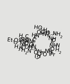 CCc1ccc(C(=O)N[C@@]2([C@@H](C)O)ON([C@H](C)CN[C@H]3CCNC(=O)[C@@](O)(CCO)NC(=O)[C@H](CCN)NC(=O)[C@H](CCN)NC(=O)[C@H](CC(C)C)NC(=O)[C@@H](Cc4ccccc4)NC(=O)[C@H](CCN)NC3=O)C2=O)o1